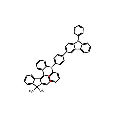 CC1(C)c2ccccc2-c2c(-c3ccccc3N(c3ccccc3)c3ccc(-c4ccc5c(c4)c4ccccc4n5-c4ccccc4)cc3)cccc21